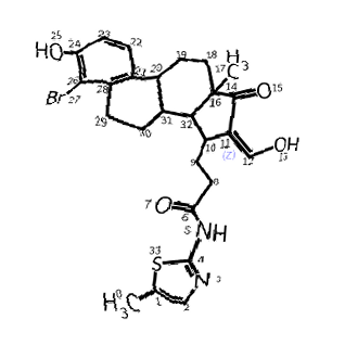 Cc1cnc(NC(=O)CCC2/C(=C/O)C(=O)C3(C)CCC4c5ccc(O)c(Br)c5CCC4C23)s1